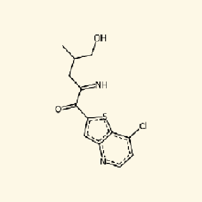 CC(CO)CC(=N)C(=O)c1cc2nccc(Cl)c2s1